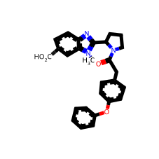 Cn1c(C2CCCN2C(=O)Cc2ccc(Oc3ccccc3)cc2)nc2ccc(C(=O)O)cc21